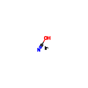 N#CO.[Ir]